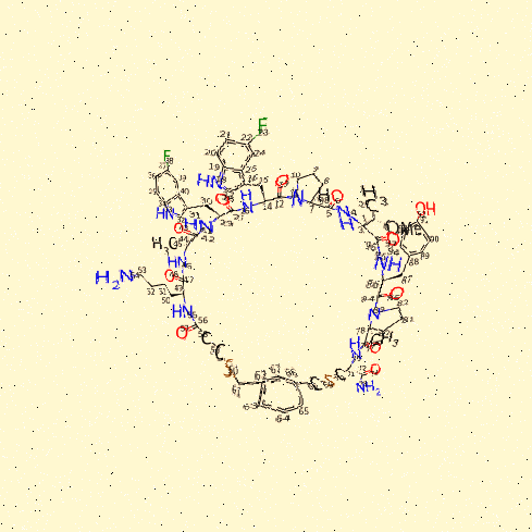 CO[C@@H](C)[C@@H]1NC(=O)[C@@H]2CCCN2C(=O)[C@H](Cc2c[nH]c3ccc(F)cc23)NC(=O)[C@H](Cc2c[nH]c3ccc(F)cc23)NC(=O)[C@@H](C)NC(=O)[C@H](CCCCN)NC(=O)CCSCc2cccc(c2)CSC[C@@H](C(N)=O)NC(=O)[C@]2(C)CCCN2C(=O)[C@H](Cc2ccc(O)cc2)NC1=O